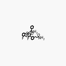 Cc1cccc(F)c1Cn1c(F)c(-c2cccc(CCC(N)=O)c2)c(=O)n(C[C@H](N)c2ccccc2)c1=O